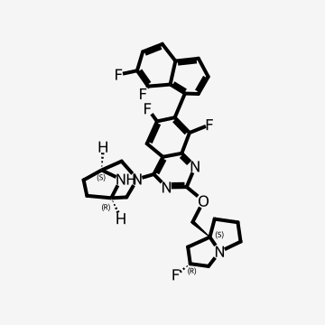 Fc1cc2c(N3C[C@H]4CC[C@@H](C3)N4)nc(OC[C@@]34CCCN3C[C@H](F)C4)nc2c(F)c1-c1cccc2ccc(F)c(F)c12